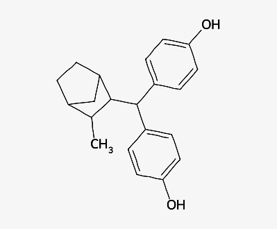 CC1C2CCC(C2)C1C(c1ccc(O)cc1)c1ccc(O)cc1